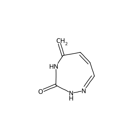 C=C1/C=C\C=N/NC(=O)N1